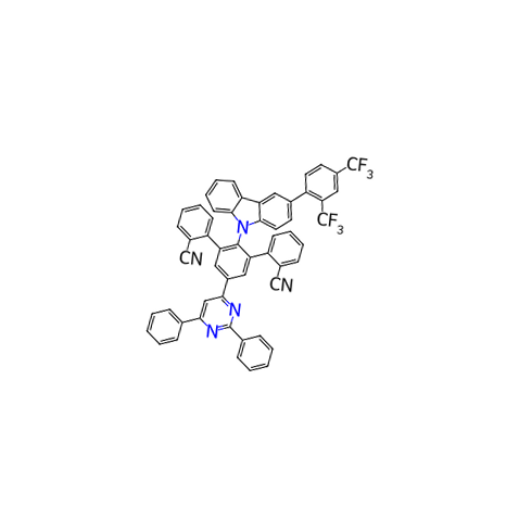 N#Cc1ccccc1-c1cc(-c2cc(-c3ccccc3)nc(-c3ccccc3)n2)cc(-c2ccccc2C#N)c1-n1c2ccccc2c2cc(-c3ccc(C(F)(F)F)cc3C(F)(F)F)ccc21